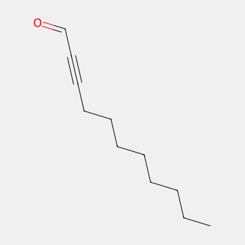 CCCCCCCCC#CC=O